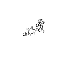 O=S(=O)(OC(c1ccc(Cl)cc1)C(F)(F)F)C(F)(F)F